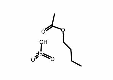 CCCCOC(C)=O.O=[SH](=O)O